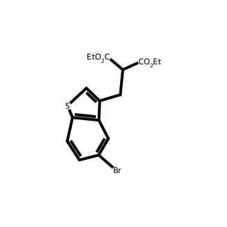 CCOC(=O)C(Cc1csc2ccc(Br)cc12)C(=O)OCC